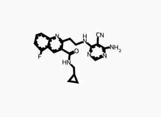 N#Cc1c(N)ncnc1NCCc1nc2cccc(F)c2cc1C(=O)NCC1CC1